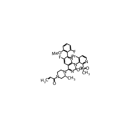 C=CC(=O)N1CCN(c2nc(=O)n(-c3c(C(C)C)ccnc3S(C)(=O)=O)c3nc(-c4c(F)cccc4OC)c(F)cc23)[C@@H](C)C1